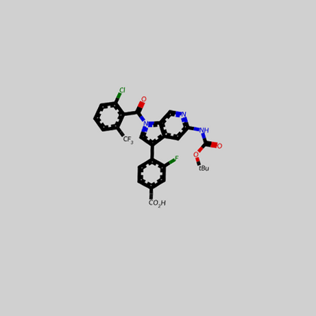 CC(C)(C)OC(=O)Nc1cc2c(-c3ccc(C(=O)O)cc3F)cn(C(=O)c3c(Cl)cccc3C(F)(F)F)c2cn1